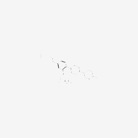 COCCc1cc(CCO)ccc1C1CCC(C2CCC(C)CC2)CC1